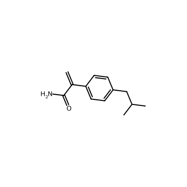 C=C(C(N)=O)c1ccc(CC(C)C)cc1